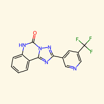 O=c1[nH]c2ccccc2c2nc(-c3cncc(C(F)(F)F)c3)nn12